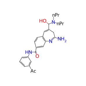 CCCN(CCC)C(O)C1=Cc2ccc(C(=O)Nc3cccc(C(C)=O)c3)cc2N=C(N)C1